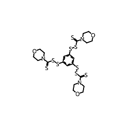 S=C(SSc1cc(SSC(=S)N2CCOCC2)cc(SSC(=S)N2CCOCC2)c1)N1CCOCC1